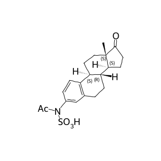 CC(=O)N(c1ccc2c(c1)CC[C@@H]1[C@@H]2CC[C@]2(C)C(=O)CC[C@@H]12)S(=O)(=O)O